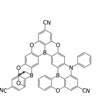 N#Cc1cc2c3c(c1)Oc1cc4c(cc1B3c1ccccc1O2)B1c2cc3c(cc2Oc2cc(C#N)cc(c21)O4)N(c1ccccc1)c1cc(C#N)cc2c1B3c1ccccc1O2